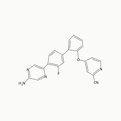 N#Cc1cc(Oc2ccccc2-c2ccc(-c3cnc(N)cn3)c(F)c2)ccn1